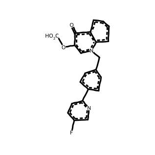 O=C(O)Oc1cn(Cc2ccc(-c3ccc(F)cn3)cc2)c2ccccc2c1=O